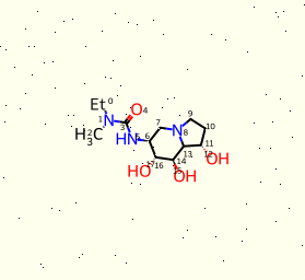 CCN(C)C(=O)N[C@H]1CN2CC[C@H](O)C2[C@@H](O)[C@@H]1O